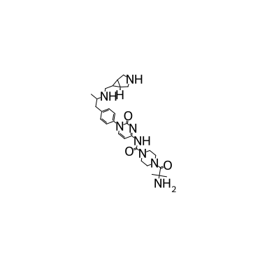 CC(Cc1ccc(-n2ccc(NC(=O)N3CCN(C(=O)C(C)(C)N)CC3)nc2=O)cc1)NCC1C2CNC[C@@H]21